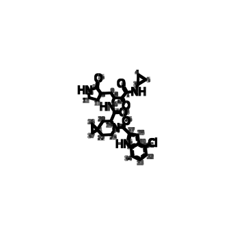 O=C(NC1CC1)C(=O)C(CC1CCNC1=O)NC(=O)C1CC2(CCN1C(=O)c1cc3c(Cl)cccc3[nH]1)CC2